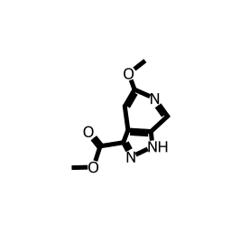 COC(=O)c1n[nH]c2cnc(OC)cc12